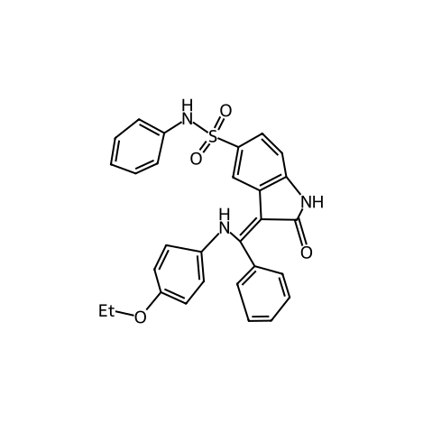 CCOc1ccc(NC(=C2C(=O)Nc3ccc(S(=O)(=O)Nc4ccccc4)cc32)c2ccccc2)cc1